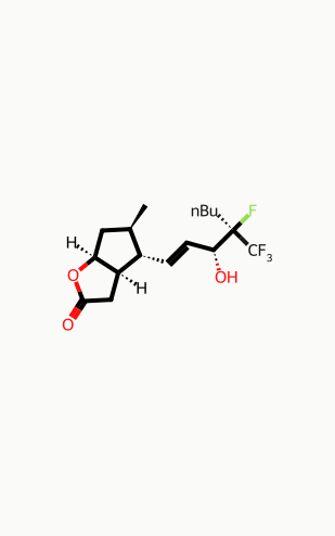 CCCC[C@@](F)([C@H](O)/C=C/[C@@H]1[C@H]2CC(=O)O[C@H]2C[C@H]1C)C(F)(F)F